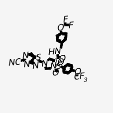 N#Cc1ncc2sc(N3CCN(S(=O)(=O)c4ccc(OC(F)(F)F)cc4)[C@@H](C(=O)NCc4ccc(OC(F)F)cc4)C3)nc2n1